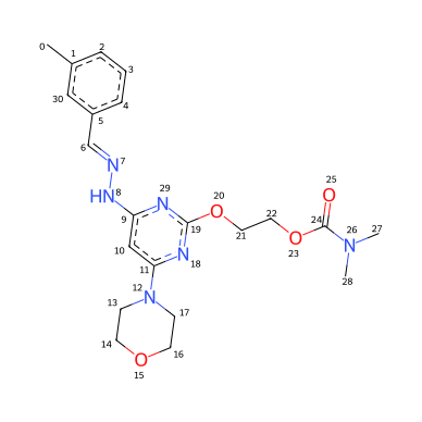 Cc1cccc(/C=N/Nc2cc(N3CCOCC3)nc(OCCOC(=O)N(C)C)n2)c1